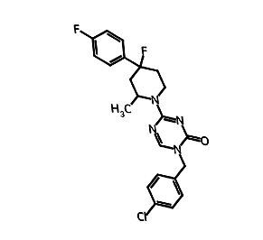 CC1CC(F)(c2ccc(F)cc2)CCN1c1ncn(Cc2ccc(Cl)cc2)c(=O)n1